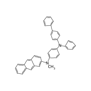 CN(c1ccc(N(c2ccccc2)c2ccc(-c3ccccc3)cc2)cc1)c1ccc2cc3ccccc3cc2c1